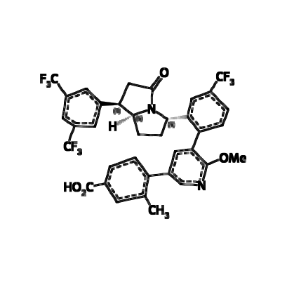 COc1ncc(-c2ccc(C(=O)O)cc2C)cc1-c1ccc(C(F)(F)F)cc1[C@@H]1CC[C@H]2[C@@H](c3cc(C(F)(F)F)cc(C(F)(F)F)c3)CC(=O)N12